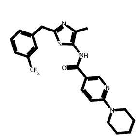 Cc1nc(Cc2cccc(C(F)(F)F)c2)sc1NC(=O)c1ccc(N2CCCCC2)nc1